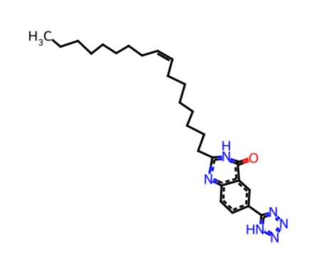 CCCCCCCC/C=C\CCCCCCCc1nc2ccc(-c3nnn[nH]3)cc2c(=O)[nH]1